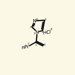 C=C(CCC)n1ccnc1.Cl